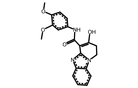 COc1ccc(NC(=O)C2=C(O)CCn3c2nc2ccccc23)cc1OC